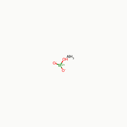 [AlH3].[O-][Br+2]([O-])O